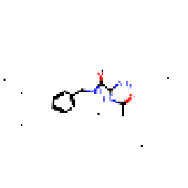 CC(=O)NC(N)C(=O)NCc1ccccc1